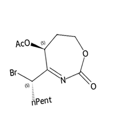 CCCCC[C@H](Br)C1=NC(=O)OCC[C@@H]1OC(C)=O